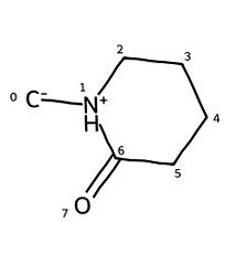 [CH2-][NH+]1CCCCC1=O